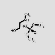 CNCCO.COP(=O)(O)OC